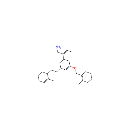 C/C=C(/CN)C1CC(OCC2=C(C)CCCC2)=C[C@H](CCC2CCCC=C2C)C1